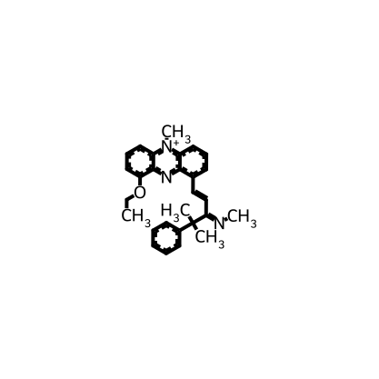 CCOc1cccc2c1nc1c(/C=C/C(=N\C)C(C)(C)c3ccccc3)cccc1[n+]2C